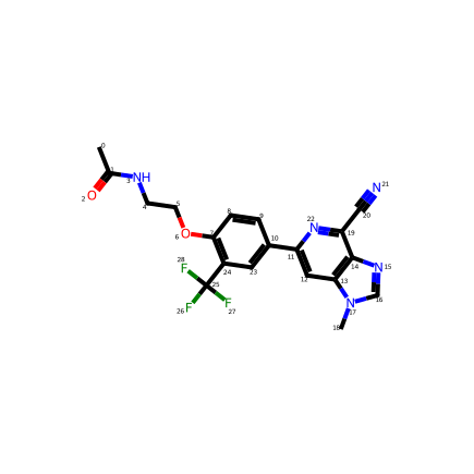 CC(=O)NCCOc1ccc(-c2cc3c(ncn3C)c(C#N)n2)cc1C(F)(F)F